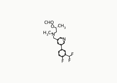 C[C@H](CN(C)Cc1cncc(-c2ccc(F)c(C(F)F)c2)c1)OC=O